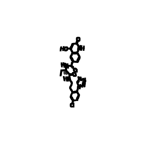 CC[C@@H](NC(=O)c1ccc2[nH]c(=O)cc(O)c2c1)C(=O)NCCc1cc(Cl)ccc1-n1cnnn1